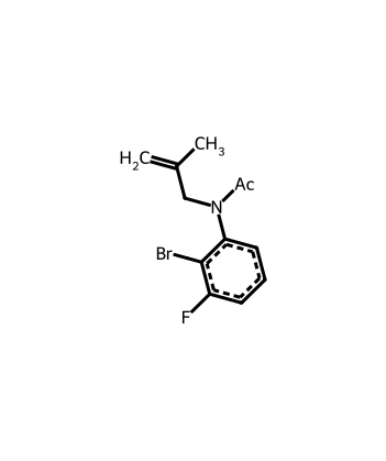 C=C(C)CN(C(C)=O)c1cccc(F)c1Br